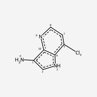 Nc1c[nH]c2c(Cl)ccnc12